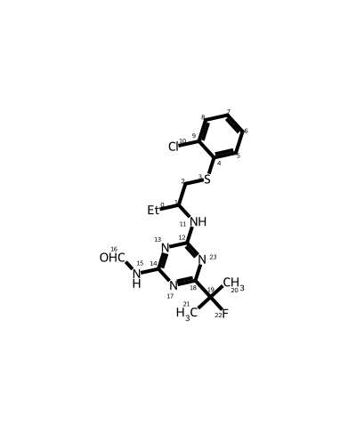 CCC(CSc1ccccc1Cl)Nc1nc(NC=O)nc(C(C)(C)F)n1